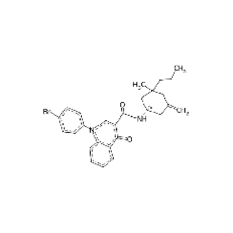 C=C1C[C@H](NC(=O)c2cn(-c3ccc(Br)cc3)c3ccccc3c2=O)CC(C)(CCC)C1